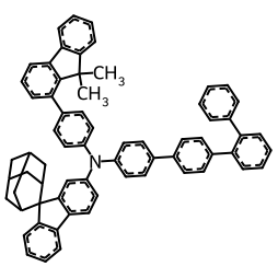 CC1(C)c2ccccc2-c2cccc(-c3ccc(N(c4ccc(-c5ccc(-c6ccccc6-c6ccccc6)cc5)cc4)c4ccc5c(c4)C4(c6ccccc6-5)C5CC6CC(C5)CC4C6)cc3)c21